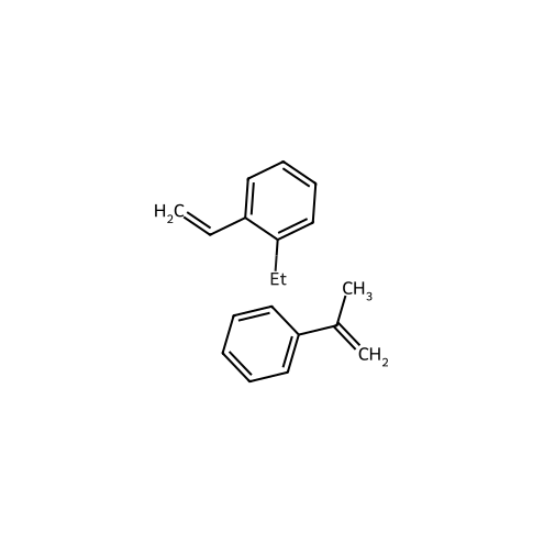 C=C(C)c1ccccc1.C=Cc1ccccc1CC